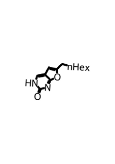 CCCCCCCc1cc2c[nH]c(=O)nc2o1